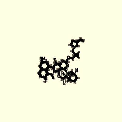 CCc1c(F)ccc2cc(N)cc(-c3nc4c5c(nc(OCC6(CN7CC/C(=C/F)C7)CC6)nc5c3F)N3C[C@H]5CC[C@H](N5)[C@H]3[C@H](C)O4)c12